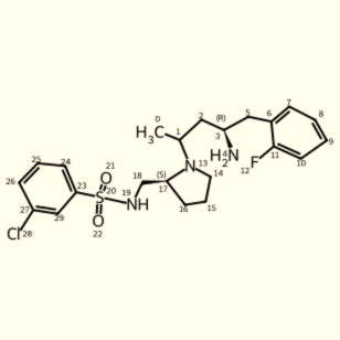 CC(C[C@H](N)Cc1ccccc1F)N1CCC[C@H]1CNS(=O)(=O)c1cccc(Cl)c1